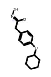 O/N=C(\Cl)Cc1ccc(OC2CCCCC2)cc1